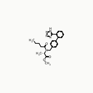 CCCCC(=O)N(Cc1ccc(-c2ccccc2-c2nnn[nH]2)cc1)[C@@H](C)C(=O)OC